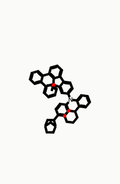 CC1(C)c2cc(N(c3ccc(C4CC5CCC4C5)cc3)c3ccccc3C3CCCCC3)ccc2-c2cccc(-c3ccccc3-c3ccccc3)c21